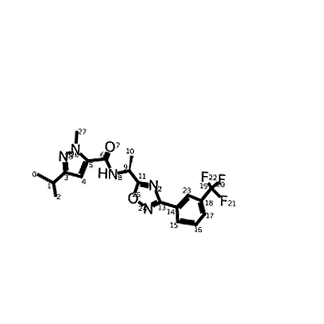 CC(C)c1cc(C(=O)N[C@@H](C)c2nc(-c3cccc(C(F)(F)F)c3)no2)n(C)n1